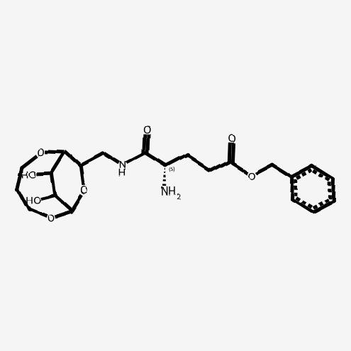 N[C@@H](CCC(=O)OCc1ccccc1)C(=O)NCC1OC2OCCCOC1C(O)C2O